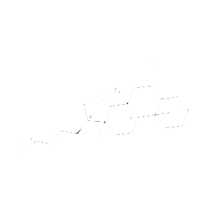 CC[C@H]1CC2(N)C3CC[C@H](CCCNC)C3(C)CC[C@@H]2C2(C)CCCCC12